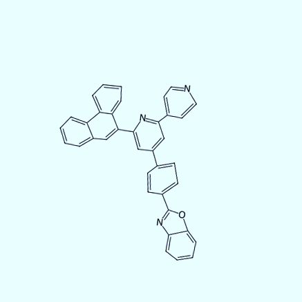 c1ccc2c(c1)cc(-c1cc(-c3ccc(-c4nc5ccccc5o4)cc3)cc(-c3ccncc3)n1)c1ccccc12